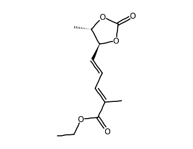 CCOC(=O)/C(C)=C/C=C/[C@@H]1OC(=O)O[C@H]1C